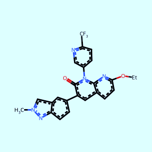 CCOc1ccc2cc(-c3ccc4nn(C)cc4c3)c(=O)n(-c3ccc(C(F)(F)F)nc3)c2n1